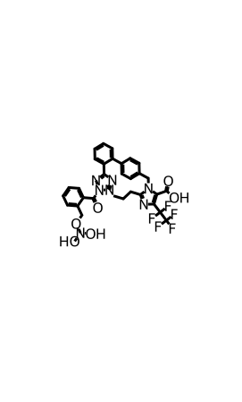 CCCc1nc(C(F)(F)C(F)(F)F)c(C(=O)O)n1Cc1ccc(-c2ccccc2-c2nnn(C(=O)c3ccccc3CON(O)O)n2)cc1